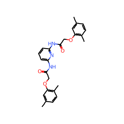 Cc1ccc(C)c(OCC(=O)Nc2cccc(NC(=O)COc3cc(C)ccc3C)n2)c1